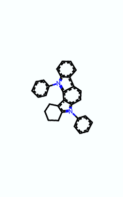 c1ccc(-n2c3c(c4c2ccc2c5ccccc5n(-c5ccccc5)c24)CCCC3)cc1